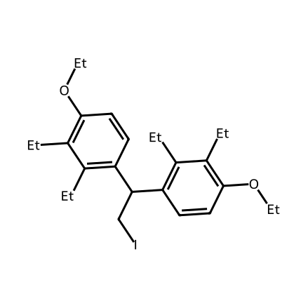 CCOc1ccc(C(CI)c2ccc(OCC)c(CC)c2CC)c(CC)c1CC